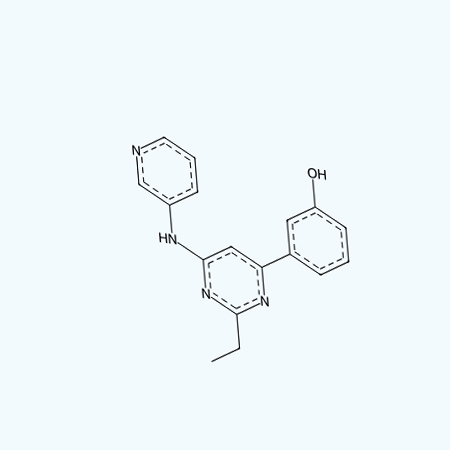 CCc1nc(Nc2cccnc2)cc(-c2cccc(O)c2)n1